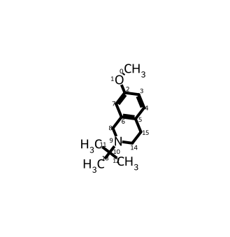 COc1ccc2c(c1)CN(C(C)(C)C)CC2